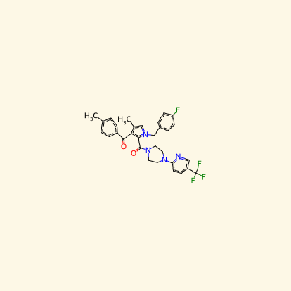 Cc1ccc(C(=O)c2c(C)cn(Cc3ccc(F)cc3)c2C(=O)N2CCN(c3ccc(C(F)(F)F)cn3)CC2)cc1